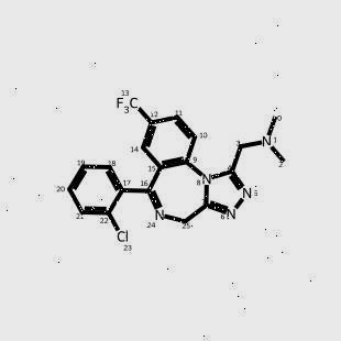 CN(C)Cc1nnc2n1-c1ccc(C(F)(F)F)cc1C(c1ccccc1Cl)=NC2